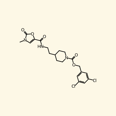 Cn1cc(C(=O)NCCC2CCN(C(=O)OCc3cc(Cl)cc(Cl)c3)CC2)oc1=O